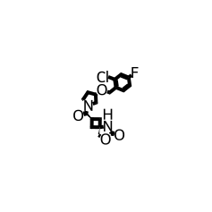 O=C1N[C@]2(CO1)C[C@H](C(=O)N1CCC(OCc3ccc(F)cc3Cl)C1)C2